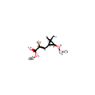 CCC(C)OC(=O)C(Br)=CC1C(OC=O)C1(C)C